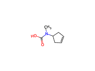 CN(C(=O)O)C1CC=CC1